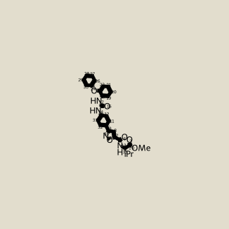 COC(=O)[C@@H](NC(=O)c1cc(-c2ccc(NC(=O)Nc3ccccc3Oc3ccccc3)cc2)no1)C(C)C